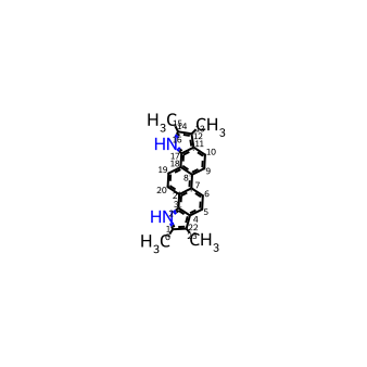 Cc1[nH]c2c(ccc3c4ccc5c(C)c(C)[nH]c5c4ccc32)c1C